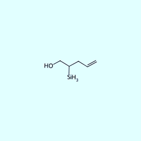 C=CCC([SiH3])CO